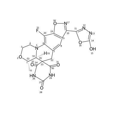 C[C@@H]1OCCN2c3c(cc4c(-c5nnc(O)o5)noc4c3F)CC3(C(=O)NC(=O)NC3=O)[C@@H]12